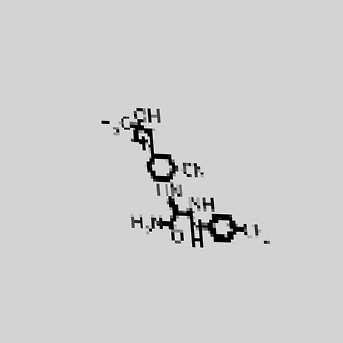 CC1(O)CN([C@@H]2CC[C@H](N/C=C(\C(=N)Nc3ccc(C(F)(F)F)cc3)C(N)=O)[C@@H](C#N)C2)C1